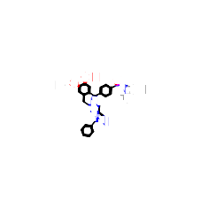 CCN(CC)C(=O)c1ccc(C2c3cc(O)c(OC)cc3CCN2Cc2c[nH]c(-c3ccccc3)n2)cc1